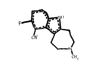 CN1CCc2[nH]c3ccc(F)c(C#N)c3c2CC1